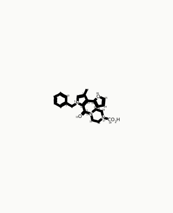 Cc1cn(Cc2ccccc2)c(C(=O)N2CCN(C(=O)O)CC2)c1-c1ccco1